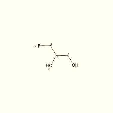 OCC(O)[CH]F